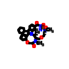 CC1C2COCCN(C)S(=O)(=O)NC(=O)c3ccc4c(C5CCCCC5)c(n1c4c3)-c1ccccc1OCC(=O)N2C